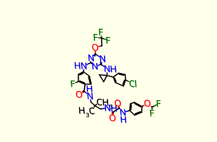 CC(C)(CNC(=O)C(=O)Nc1ccc(OC(F)F)cc1)CNC(=O)c1ccc(Nc2nc(NC3(c4ccc(Cl)cc4)CC3)nc(OCC(F)(F)F)n2)cc1F